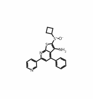 Nc1c([S+]([O-])C2CCC2)sc2nc(-c3cccnc3)cc(-c3ccccc3)c12